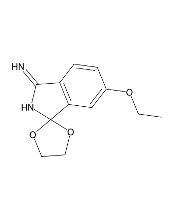 CCOc1ccc2c(c1)C1(NC2=N)OCCO1